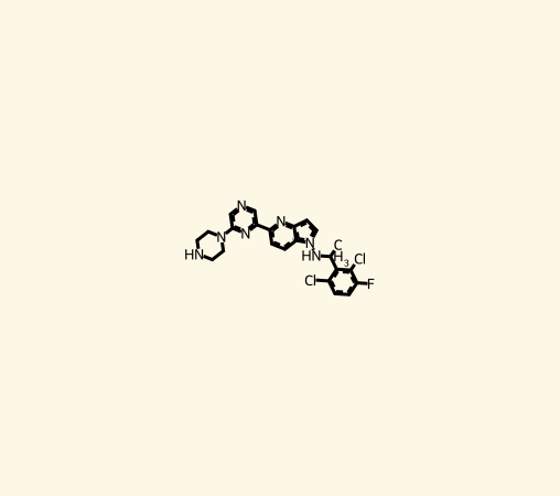 CC(Nn1ccc2nc(-c3cncc(N4CCNCC4)n3)ccc21)c1c(Cl)ccc(F)c1Cl